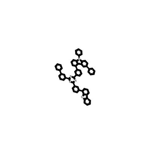 c1ccc(-c2cccc(-c3nc(-c4cccc(-c5cccc6c5oc5ccccc56)c4)nc(-c4cccc(-c5cccc6c5c5cc(-c7ccccc7)ccc5n6-c5ccccc5)c4)n3)c2)cc1